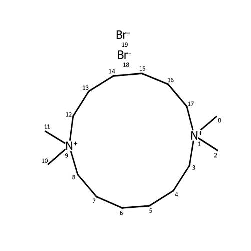 C[N+]1(C)CCCCCC[N+](C)(C)CCCCCC1.[Br-].[Br-]